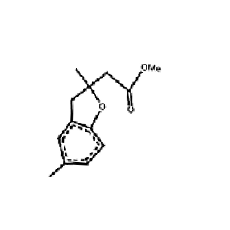 COC(=O)CC1(C)Cc2cc(C)ccc2O1